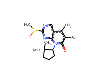 CC(=O)O[C@@]1(C)CCC[C@@H]1n1c(=O)c(C(C)=O)c(C)c2cnc([S+](C)[O-])nc21